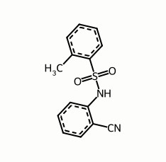 Cc1ccccc1S(=O)(=O)Nc1ccccc1C#N